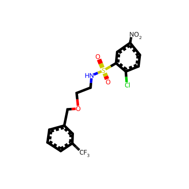 O=[N+]([O-])c1ccc(Cl)c(S(=O)(=O)NCCOCc2cccc(C(F)(F)F)c2)c1